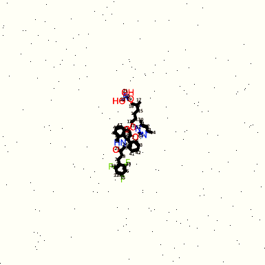 Cc1cc(C)nc(O[C@H](C(=O)OCCCCC(C)CON(O)O)[C@](NCC(=O)CCc2c(F)cc(F)cc2F)(c2ccccc2)c2ccccc2C)n1